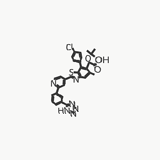 Cc1cc2nc(-c3ccnc(-c4cccc(-c5nnn[nH]5)c4)c3)sc2c(-c2ccc(Cl)cc2)c1C(OC(C)(C)C)C(=O)O